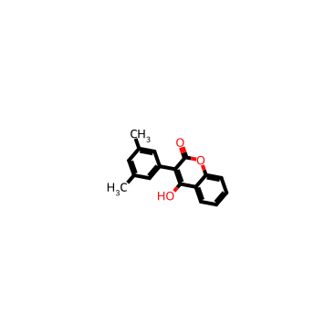 Cc1cc(C)cc(-c2c(O)c3ccccc3oc2=O)c1